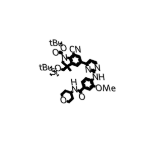 COc1cc(C(=O)NC2CCOCC2)ccc1Nc1nccc(-c2cc(C#N)c3c(c2)C(C)(CO[Si](C)(C)C(C)(C)C)CN3C(=O)OC(C)(C)C)n1